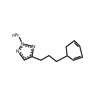 CCCn1ncc(CCCC2C=CC=CC2)n1